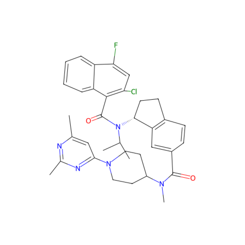 Cc1cc(N2CCC(N(C)C(=O)c3ccc4c(c3)[C@H](N(C(=O)c3c(Cl)cc(F)c5ccccc35)C(C)C)CC4)CC2)nc(C)n1